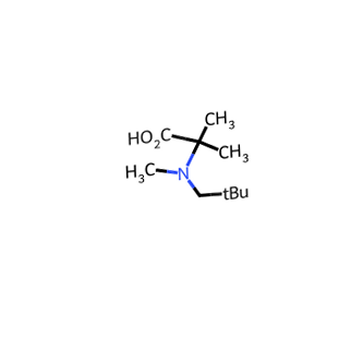 CN(CC(C)(C)C)C(C)(C)C(=O)O